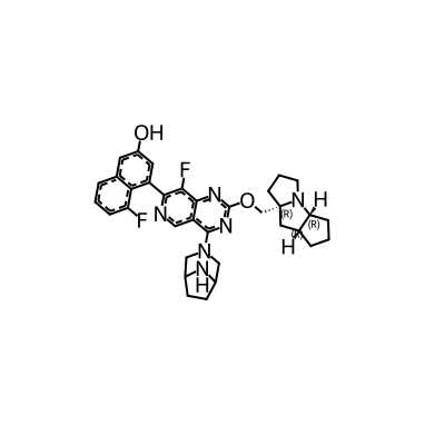 Oc1cc(-c2ncc3c(N4CC5CCC(C4)N5)nc(OC[C@]45CCCN4[C@@H]4CCC[C@@H]4C5)nc3c2F)c2c(F)cccc2c1